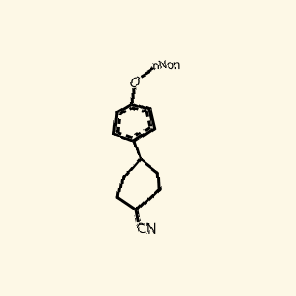 CCCCCCCCCOc1ccc(C2CCC(C#N)CC2)cc1